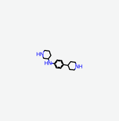 c1cc(C2CCNCC2)ccc1NC1CCCNC1